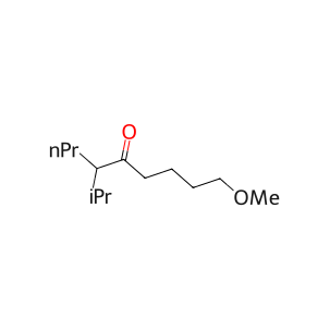 CCCC(C(=O)CCCCOC)C(C)C